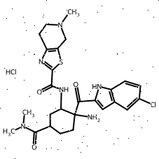 CN1CCc2nc(C(=O)NC3CC(C(=O)N(C)C)CCC3(N)C(=O)c3cc4cc(Cl)ccc4[nH]3)sc2C1.Cl